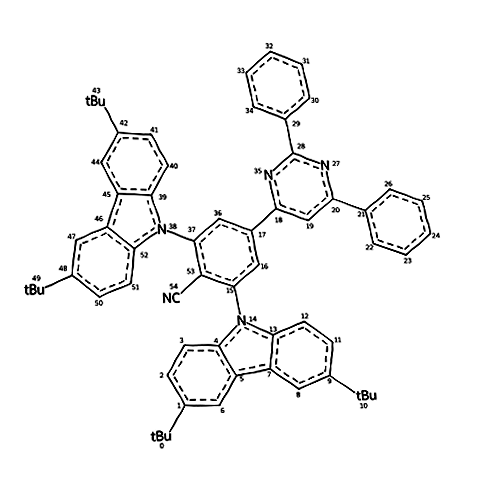 CC(C)(C)c1ccc2c(c1)c1cc(C(C)(C)C)ccc1n2-c1cc(-c2cc(-c3ccccc3)nc(-c3ccccc3)n2)cc(-n2c3ccc(C(C)(C)C)cc3c3cc(C(C)(C)C)ccc32)c1C#N